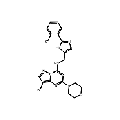 Clc1ccccc1-c1nnc(CNc2nc(N3CCOCC3)nc3c(Br)cnn23)[nH]1